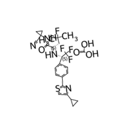 CC(C)(F)C[C@H](N[C@@H](c1ccc(-c2nc(C3CC3)cs2)cc1)C(F)(F)F)C(=O)NC1(C#N)CC1.O=C(O)O